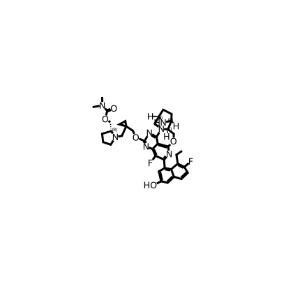 CCc1c(F)ccc2cc(O)cc(-c3nc4c5c(nc(OCC6(CN7CCC[C@@H]7COC(=O)N(C)C)CC6)nc5c3F)N3C[C@@H]5CC[C@@H](N5)[C@H]3CO4)c12